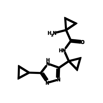 NC1(C(=O)NC2(c3nnc(C4CC4)[nH]3)CC2)CC1